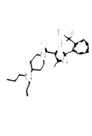 CCCN(CCC)C1CCN(C(=O)c2sc(-c3ccccc3C(F)(F)F)nc2C)CC1